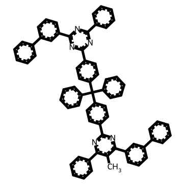 Cc1c(-c2ccccc2)nc(-c2ccc(C(c3ccccc3)(c3ccccc3)c3ccc(-c4nc(-c5ccccc5)nc(-c5cccc(-c6ccccc6)c5)n4)cc3)cc2)nc1-c1cccc(-c2ccccc2)c1